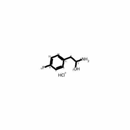 Cl.NC(O)Cc1ccc(F)cc1